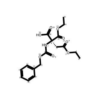 CCOC(=O)C[C@](NC(=O)OCc1ccccc1)(C(=O)O)C(=O)OCC